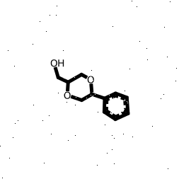 OCC1COC(c2ccccc2)CO1